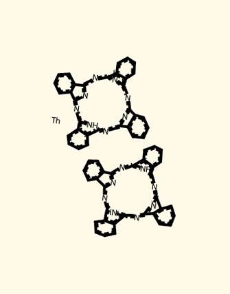 [Th].c1ccc2c(c1)-c1nc-2nc2[nH]c(nc3nc(nc4[nH]c(n1)c1ccccc41)-c1ccccc1-3)c1ccccc21.c1ccc2c(c1)-c1nc-2nc2[nH]c(nc3nc(nc4[nH]c(n1)c1ccccc41)-c1ccccc1-3)c1ccccc21